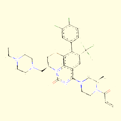 C=CC(=O)N1C[C@H](C)N(c2nc(=O)n3c4c(c(-c5ccc(F)c(Cl)c5)c(C(F)(F)F)cc24)SC[C@@H]3CN2CCN(CC)CC2)C[C@H]1C